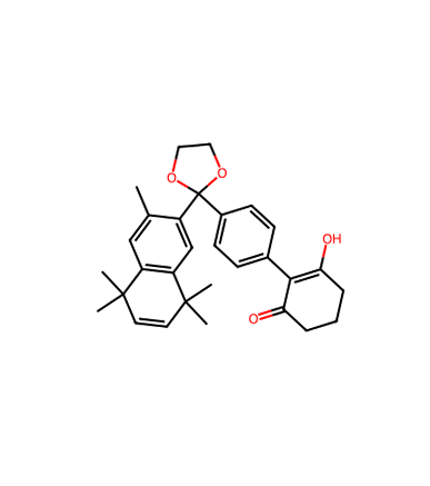 Cc1cc2c(cc1C1(c3ccc(C4=C(O)CCCC4=O)cc3)OCCO1)C(C)(C)C=CC2(C)C